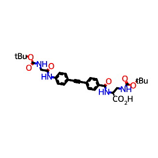 CC(C)(C)OC(=O)NCC(=O)Nc1ccc(C#Cc2ccc(C(=O)N[C@@H](CNC(=O)OC(C)(C)C)C(=O)O)cc2)cc1